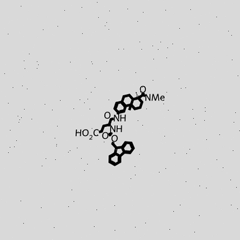 CNC(=O)[C@@]1(C)CCCC2(C)c3cc(NC(=O)C(CCC(=O)O)NC(=O)OCC4c5ccccc5-c5ccccc54)ccc3CCC21